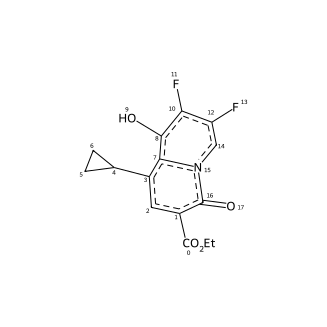 CCOC(=O)c1cc(C2CC2)c2c(O)c(F)c(F)cn2c1=O